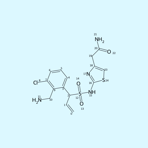 C=CC(c1cccc(Cl)c1CN)S(=O)(=O)Nc1nc(CC(N)=O)cs1